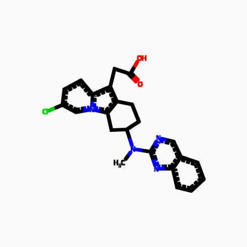 CN(c1ncc2ccccc2n1)C1CCc2c(CC(=O)O)c3ccc(Cl)cn3c2C1